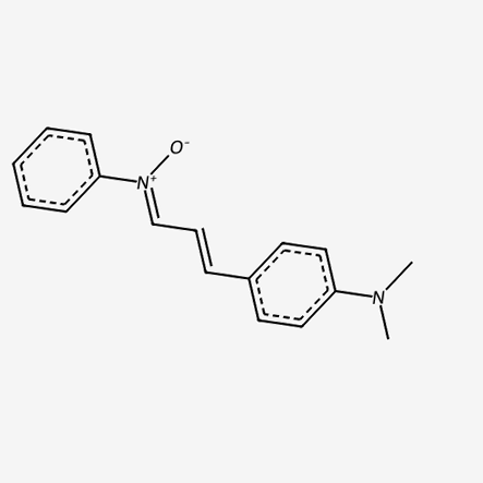 CN(C)c1ccc(C=CC=[N+]([O-])c2ccccc2)cc1